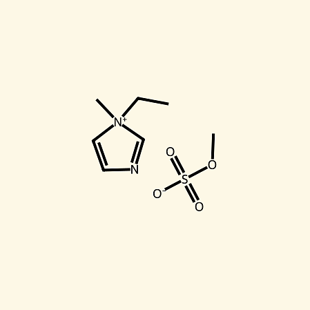 CC[N+]1(C)C=CN=C1.COS(=O)(=O)[O-]